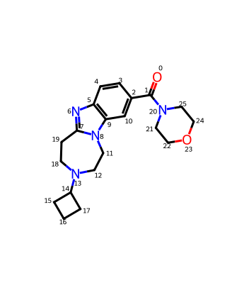 O=C(c1ccc2nc3n(c2c1)CCN(C1CCC1)CC3)N1CCOCC1